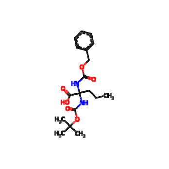 CCCC(NC(=O)OCc1ccccc1)(NC(=O)OC(C)(C)C)C(=O)O